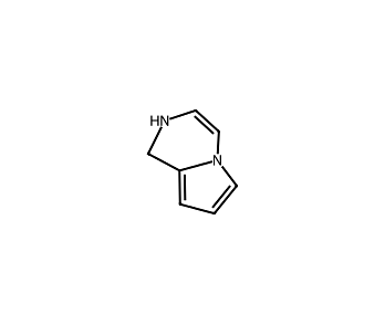 C1=Cn2cccc2CN1